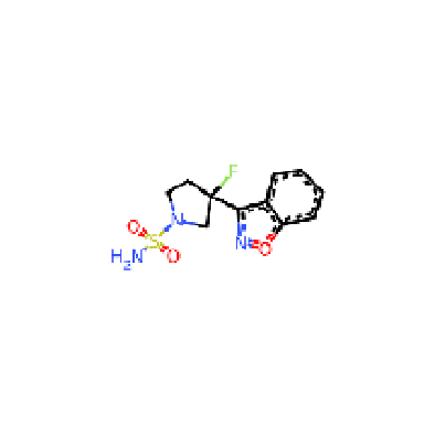 NS(=O)(=O)N1CCC(F)(c2noc3ccccc23)C1